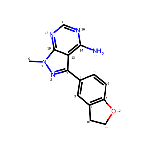 Cn1nc(-c2ccc3c(c2)CCO3)c2c(N)ncnc21